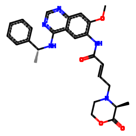 COc1cc2ncnc(N[C@H](C)c3ccccc3)c2cc1NC(=O)/C=C/CN1CCOC(=O)[C@@H]1C